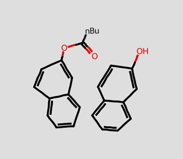 CCCCC(=O)Oc1ccc2ccccc2c1.Oc1ccc2ccccc2c1